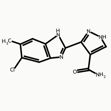 Cc1cc2[nH]c(-c3n[nH]cc3C(N)=O)nc2cc1Cl